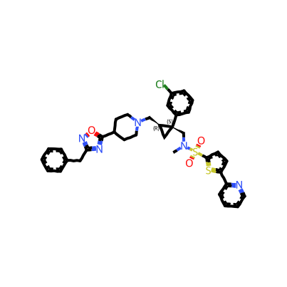 CN(C[C@@]1(c2cccc(Cl)c2)C[C@H]1CN1CCC(c2nc(Cc3ccccc3)no2)CC1)S(=O)(=O)c1ccc(-c2ccccn2)s1